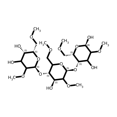 COCC1O[C@@H](O[C@H]2C(O)C(OC)[C@H](O)O[C@H]2COC)C(OC)[C@@H](O)[C@@H]1O[C@@H]1O[C@@H](COC)[C@@H](O)C(O)C1OC